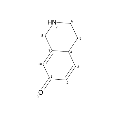 O=C1C=CC2CCNCC2=C1